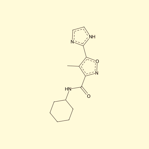 Cc1c(C(=O)NC2CCCCC2)noc1-c1ncc[nH]1